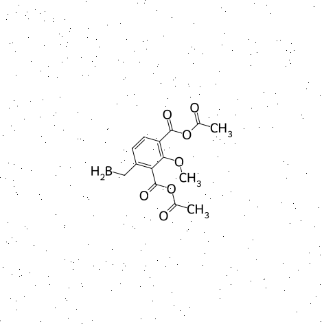 BCc1ccc(C(=O)OC(C)=O)c(OC)c1C(=O)OC(C)=O